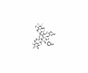 Fc1ccc(F)c(-c2cc(-c3cc(F)ccc3F)cc(N(c3c(F)c(F)c(-c4c(F)c(F)c(F)c(F)c4F)c(F)c3F)c3c(F)c(F)c(-c4c(F)c(F)c(F)c(F)c4F)c(F)c3F)c2)c1